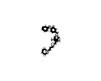 c1ccc(Oc2ccc(CN3C[C@@H]4C(COCCCN5CCCCC5)[C@@H]4C3)cc2)cc1